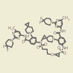 Cc1cc(NC(=O)c2ccc(N(C3CC34CCN(c3cc(NS(=O)(=O)C5CC5)ccc3C(=O)Nc3cc(C)nc(N5CCC(F)(F)CC5)n3)CC4)S(=O)(=O)CCCO)cc2N2CCC3(CC2)CC3)nc(N2CCC(F)(F)CC2)n1